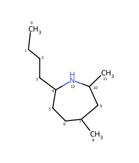 CCCCC1CCC(C)CC(C)N1